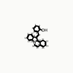 Oc1ccccc1C=c1c2ccccc2n2ccc3c(c12)CC=CC=3